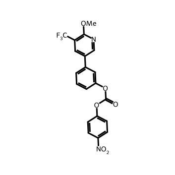 COc1ncc(-c2cccc(OC(=O)Oc3ccc([N+](=O)[O-])cc3)c2)cc1C(F)(F)F